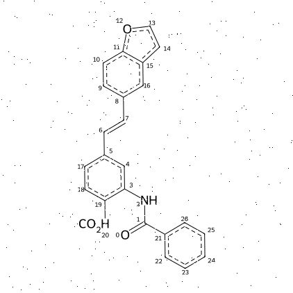 O=C(Nc1cc(C=Cc2ccc3occc3c2)ccc1C(=O)O)c1ccccc1